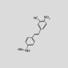 CCCCNc1ccc(C=Cc2ccc([N+](=O)[O-])c(C#N)c2)cc1